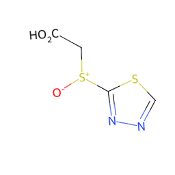 O=C(O)C[S+]([O-])c1nncs1